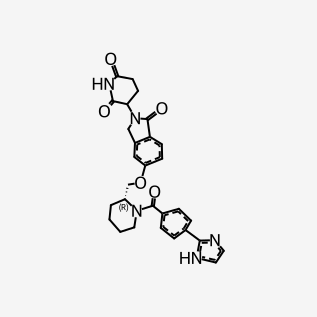 O=C1CCC(N2Cc3cc(OC[C@H]4CCCCN4C(=O)c4ccc(-c5ncc[nH]5)cc4)ccc3C2=O)C(=O)N1